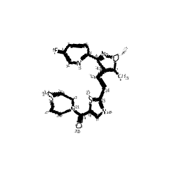 Cc1onc(-c2ccc(F)cn2)c1/C=C/c1ncc(C(=O)N2CCSCC2)s1